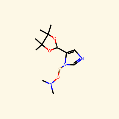 CN(C)OSn1cncc1B1OC(C)(C)C(C)(C)O1